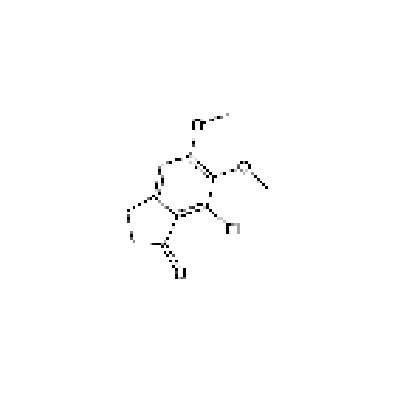 COc1cc2c(c(Cl)c1OC)C(=O)CC2